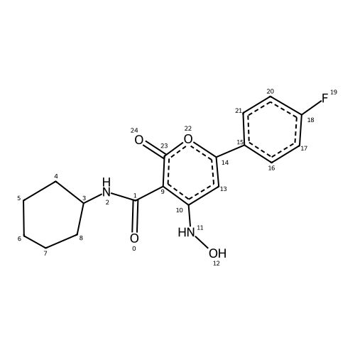 O=C(NC1CCCCC1)c1c(NO)cc(-c2ccc(F)cc2)oc1=O